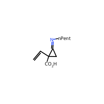 C=CC1(C(=O)O)CC1=NCCCCC